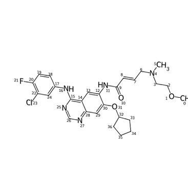 COCCN(C)CC=CC(=O)Nc1cc2c(Nc3ccc(F)c(Cl)c3)ncnc2cc1OC1CCCC1